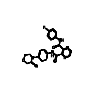 O=C(NC1=CC=C(N2CCOCC2=O)CC1)c1nccnc1C(=O)Nc1ccc(F)cc1